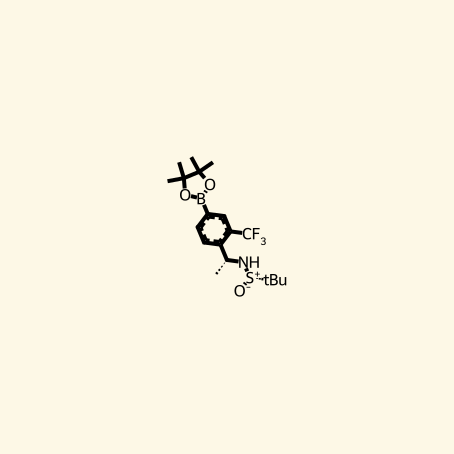 C[C@@H](N[S@@+]([O-])C(C)(C)C)c1ccc(B2OC(C)(C)C(C)(C)O2)cc1C(F)(F)F